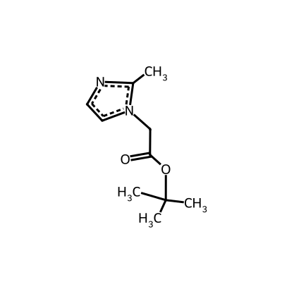 Cc1nccn1CC(=O)OC(C)(C)C